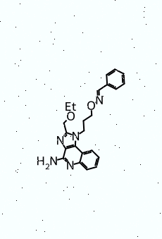 CCOCc1nc2c(N)nc3ccccc3c2n1CCCON=Cc1ccccc1